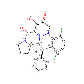 O=C1c2c(O)c(=O)cnn2[C@@H]([C@H](c2ccccc2)c2cc(F)ccc2F)[C@H]2CCCN12